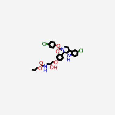 CCCOC(=O)NCC(O)COc1ccc(C2c3[nH]c4ccc(Cl)cc4c3CCN2C(=O)Oc2ccc(Cl)cc2)cc1